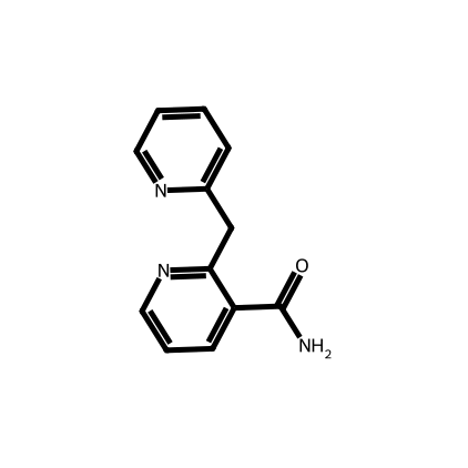 NC(=O)c1cccnc1Cc1ccccn1